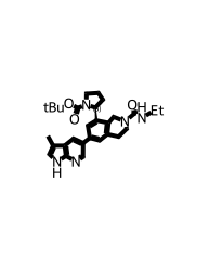 CCNC(=O)N1CCc2cc(-c3cnc4[nH]cc(C)c4c3)cc([C@@H]3CCCN3C(=O)OC(C)(C)C)c2C1